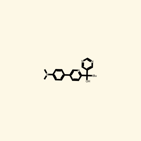 CN(C)c1ccc(-c2ccc(C(O)(c3cncnc3)C(C)(C)C)nc2)cc1